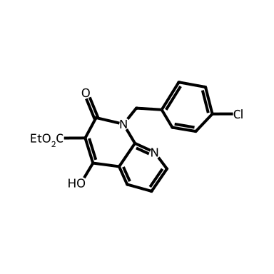 CCOC(=O)c1c(O)c2cccnc2n(Cc2ccc(Cl)cc2)c1=O